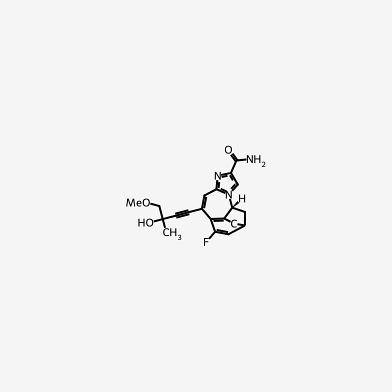 COCC(C)(O)C#CC1=Cc2nc(C(N)=O)cn2[C@@H]2CC3C=C(F)C1=C2C3